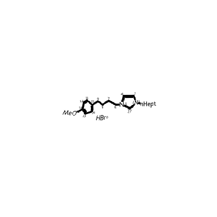 Br.CCCCCCCN1C=CN(CCCCc2ccc(OC)cc2)C1